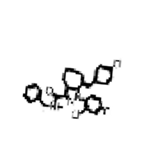 C[C@@H](NC(=O)c1nn(-c2ccc(Cl)cc2Cl)c2c1CCCC/C2=C\c1ccc(Cl)cc1)c1ccccc1